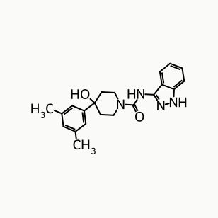 Cc1cc(C)cc(C2(O)CCN(C(=O)Nc3n[nH]c4ccccc34)CC2)c1